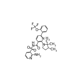 CC1CCN(c2nc(-c3ccccc3OC(F)(F)F)ccc2C(=O)NS(=O)(=O)c2cccnc2N)C1(C)C